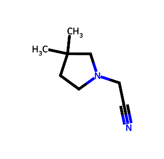 CC1(C)CCN(CC#N)C1